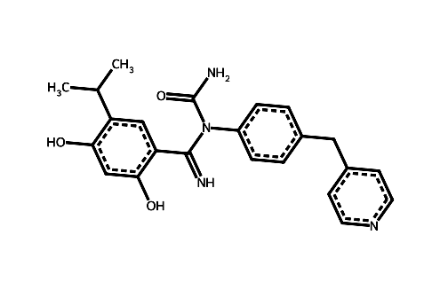 CC(C)c1cc(C(=N)N(C(N)=O)c2ccc(Cc3ccncc3)cc2)c(O)cc1O